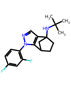 CC(C)(C)NC12CCC(C1)c1c2[c]nn1-c1ccc(F)cc1F